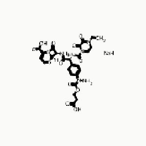 CCN1CCN(C(=O)N[C@@H](C(=O)N[C@@H]2C(=O)N3C(C(=O)O)=CCS[C@H]23)c2ccc(N(N)C(=O)OCCC(=O)O)cc2)C(=O)C1=O.[NaH]